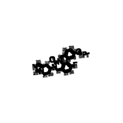 CC(C)Oc1ccc(CNC(=O)N(Cc2ccc(F)cc2)[C@H]2CCn3cncc3C2)cc1